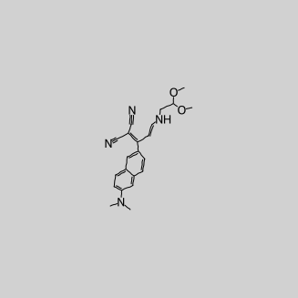 COC(CNC=CC(=C(C#N)C#N)c1ccc2cc(N(C)C)ccc2c1)OC